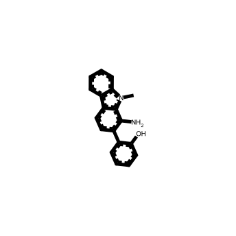 Cn1c2ccccc2c2ccc(-c3ccccc3O)c(N)c21